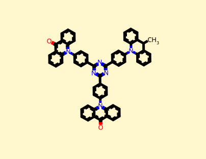 CC1c2ccccc2N(c2ccc(-c3nc(-c4ccc(-n5c6ccccc6c(=O)c6ccccc65)cc4)nc(-c4ccc(-n5c6ccccc6c(=O)c6ccccc65)cc4)n3)cc2)c2ccccc21